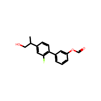 CC(CO)c1ccc(-c2cccc(OC=O)c2)c(F)c1